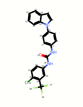 O=C(Nc1ccc(-n2ccc3ccccc32)cc1)Nc1ccc(Cl)c(C(F)(F)F)c1